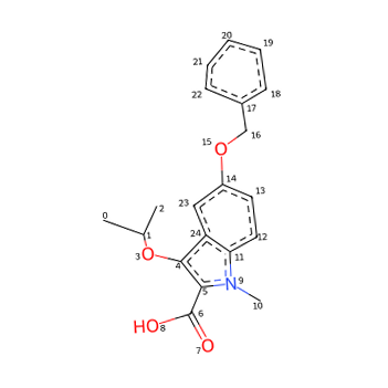 CC(C)Oc1c(C(=O)O)n(C)c2ccc(OCc3ccccc3)cc12